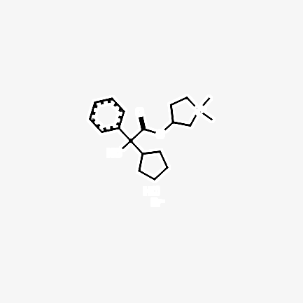 C[N+]1(C)CCC(OC(=O)C(O)(c2ccccc2)C2CCCC2)C1.Cl.[Br-]